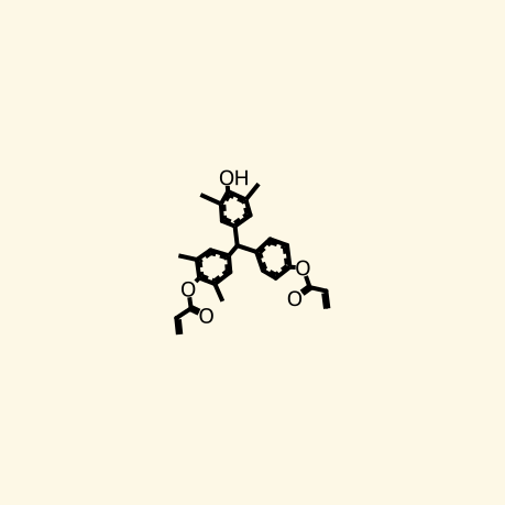 C=CC(=O)Oc1ccc(C(c2cc(C)c(O)c(C)c2)c2cc(C)c(OC(=O)C=C)c(C)c2)cc1